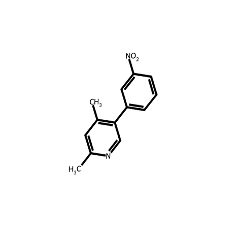 Cc1cc(C)c(-c2cccc([N+](=O)[O-])c2)cn1